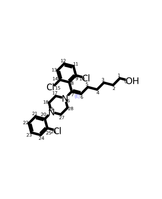 OCCCCC/C=C(\c1c(Cl)cccc1Cl)N1CCN(c2ccccc2Cl)CC1